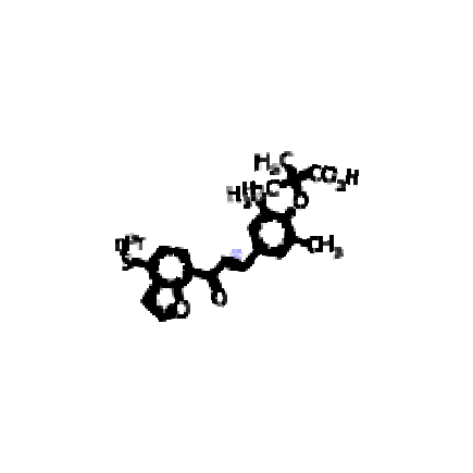 CCCSc1ccc(C(=O)/C=C/c2cc(C)c(OC(C)(C)C(=O)O)c(C)c2)c2occc12